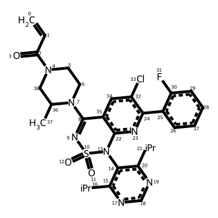 C=CC(=O)N1CCN(C2=NS(=O)(=O)N(c3c(C(C)C)ncnc3C(C)C)c3nc(-c4ccccc4F)c(Cl)cc32)C(C)C1